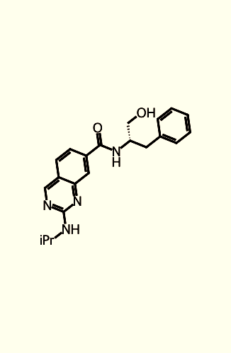 CC(C)Nc1ncc2ccc(C(=O)N[C@H](CO)Cc3ccccc3)cc2n1